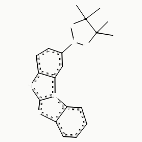 CC1(C)OB(c2ccc3nc4sc5ccccc5n4c3c2)OC1(C)C